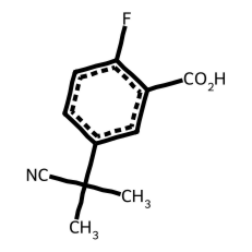 CC(C)(C#N)c1ccc(F)c(C(=O)O)c1